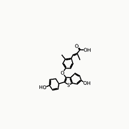 C/C(=C\c1ccc(Oc2c(C3C=CC(O)=CC3)sc3cc(O)ccc23)cc1C)C(=O)O